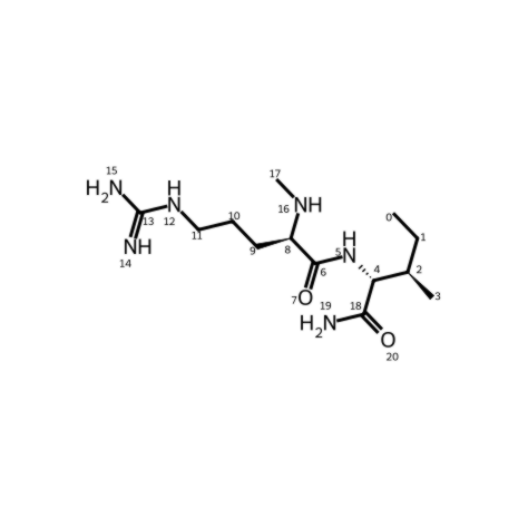 CC[C@@H](C)[C@@H](NC(=O)[C@@H](CCCNC(=N)N)NC)C(N)=O